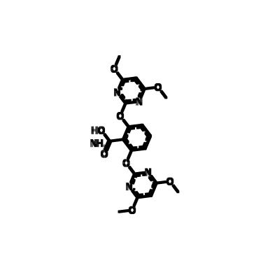 COc1cc(OC)nc(Oc2cccc(Oc3nc(OC)cc(OC)n3)c2C(=O)O)n1.N